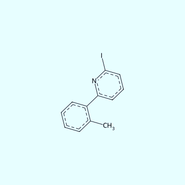 Cc1ccccc1-c1cccc(I)n1